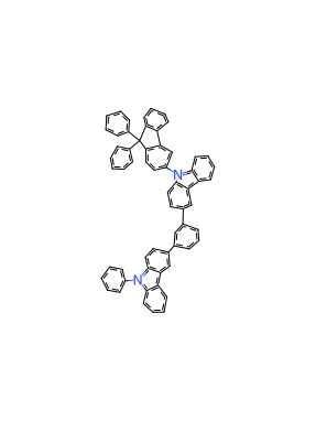 c1ccc(-n2c3ccccc3c3cc(-c4cccc(-c5ccc6c(c5)c5ccccc5n6-c5ccc6c(c5)-c5ccccc5C6(c5ccccc5)c5ccccc5)c4)ccc32)cc1